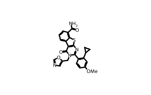 COc1ccc(-c2nc3sc4c(C(N)=O)cccc4c3c(=O)n2Cc2cnco2)c(C2CC2)c1